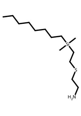 CCCCCCCC[Si](C)(C)CCSCCN